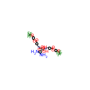 Nc1cc(N)cc(C(C(O)C(=O)/C=C/c2ccc(C(=O)Oc3ccc(OC(F)(F)C(F)F)cc3)cc2)C(O)C(=O)/C=C/c2ccc(C(=O)Oc3ccc(OC(F)(F)C(F)F)cc3)cc2)c1